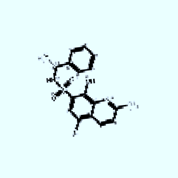 Cc1ccc2c(Cl)cc(S(=O)(=O)N[C@H](C)c3ccccc3)c(O)c2n1